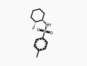 Cc1ccc(S(=O)(=O)N[C@@H]2CCCC[C@H]2F)cc1